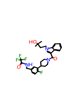 CC(C)(O)CCn1cc(C(=O)N2CCC(c3cc(CNC(=O)C(F)(F)F)ccc3F)CC2)c2ccccc21